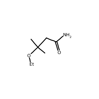 CCOC(C)(C)CC(N)=O